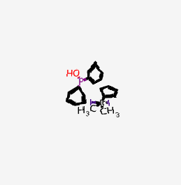 OP(c1ccccc1)c1ccccc1.[CH3][Ir]([CH3])([I])([I])[C]1=CC=CC1